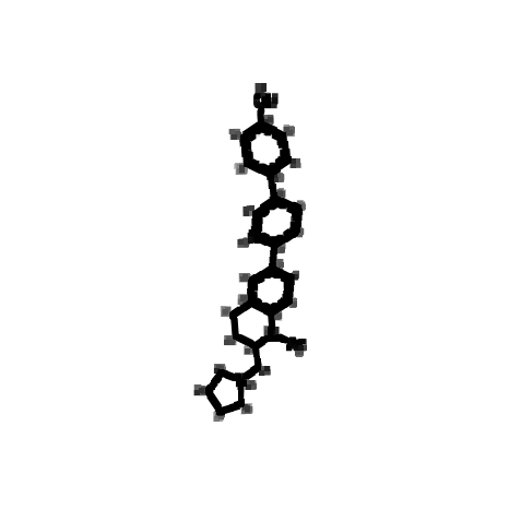 CC(=O)N1c2ccc(-c3ccc(-c4ccc(O)cc4)cn3)cc2CCC1CN1CCCC1